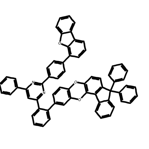 c1ccc(-c2cc(-c3ccccc3-c3ccc4c(c3)Oc3c(ccc5c3-c3ccccc3C5(c3ccccc3)c3ccccc3)O4)nc(-c3ccc(-c4cccc5c4oc4ccccc45)cc3)n2)cc1